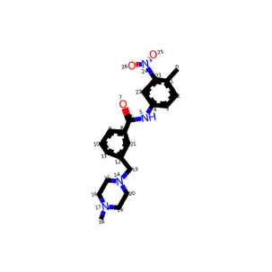 Cc1ccc(NC(=O)c2cccc(CN3CCN(C)CC3)c2)cc1[N+](=O)[O-]